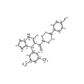 CC1=C(C(=O)N2CCN(c3ccc(F)cc3)CC2)C(c2cc(C(F)(F)F)cc(C(F)(F)F)c2)n2nccc2N1